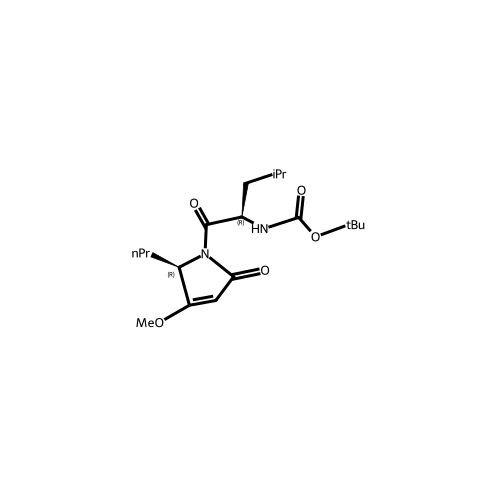 CCC[C@@H]1C(OC)=CC(=O)N1C(=O)[C@@H](CC(C)C)NC(=O)OC(C)(C)C